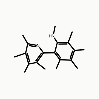 CNc1c(C)c(C)c(C)c(C)c1-c1nc(C)c(C)c(C)c1C